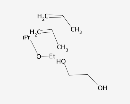 C=CC.C=CC.CCOC(C)C.OCCO